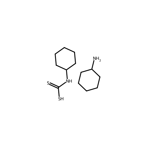 NC1CCCCC1.S=C(S)NC1CCCCC1